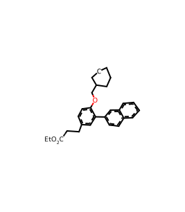 CCOC(=O)CCc1ccc(OCC2CCCCC2)c(-c2ccc3ccccc3c2)c1